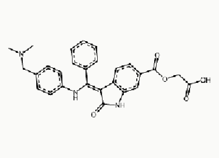 CN(C)Cc1ccc(N/C(=C2\C(=O)Nc3cc(C(=O)OCC(=O)O)ccc32)c2ccccc2)cc1